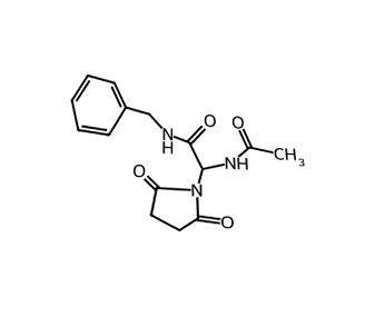 CC(=O)NC(C(=O)NCc1ccccc1)N1C(=O)CCC1=O